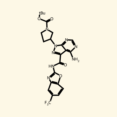 CC(C)(C)OC(=O)N1CCC(n2nc(C(=O)Nc3nc4cc(C(F)(F)F)ccc4o3)c3c(N)ncnc32)C1